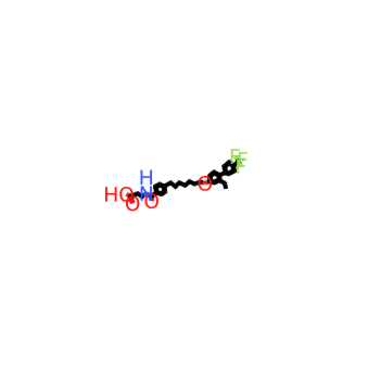 CCc1cc(OCCCCCCCc2ccc(C(=O)NCCC(=O)O)cc2)ccc1-c1ccc(C(F)(F)F)cc1